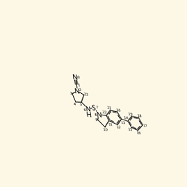 N#CN1CCC(NSN2CCc3cc(-c4ccccc4)ccc32)C1